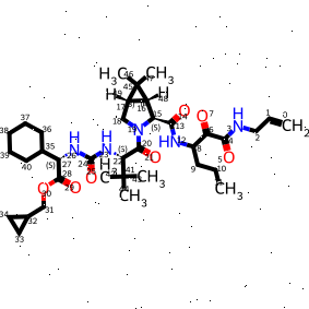 C=CCNC(=O)C(=O)C(CCC)NC(=O)[C@@H]1[C@@H]2[C@H](CN1C(=O)[C@@H](NC(=O)N[C@H](C(=O)OCC1CC1)C1CCCCC1)C(C)(C)C)C2(C)C